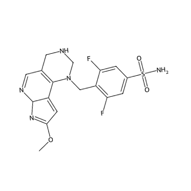 COC1=NC2N=CC3=C(C2=C1)N(Cc1c(F)cc(S(N)(=O)=O)cc1F)CNC3